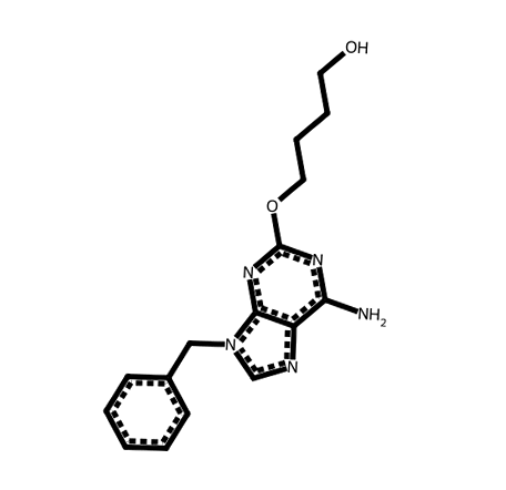 Nc1nc(OCCCCO)nc2c1ncn2Cc1ccccc1